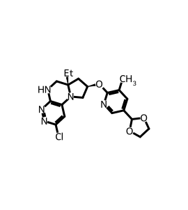 CC[C@]12CNc3nnc(Cl)cc3N1C[C@H](Oc1ncc(C3OCCO3)cc1C)C2